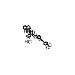 COC(=O)c1ccc(C#Cc2ccc(C[C@H](N)C(=O)N3C[Si](C)(C)C[C@H]3C(=O)N[C@@H]3CCCc4ccccc43)cc2)cc1.Cl